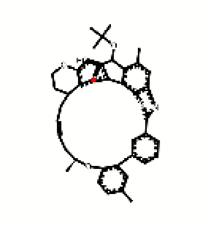 Cc1ccc2c(c1)-c1cccc(c1)-c1nc3cc(C)c(C(OC(C)(C)C)C(=O)O)c(c3s1)-c1ccc3c(c1)C(CC=CC[C@H](C)O2)CCO3